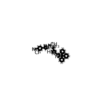 C[C@@H](Cn1ccc(-c2ccc(C#N)c(Cl)c2)n1)NC(=O)c1cc(-c2cn(C(c3ccccc3)(c3ccccc3)c3ccccc3)cn2)n[nH]1